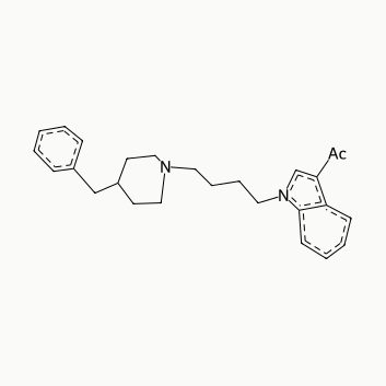 CC(=O)c1cn(CCCCN2CCC(Cc3ccccc3)CC2)c2ccccc12